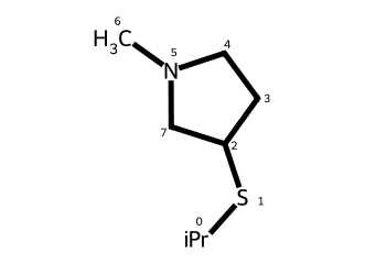 CC(C)SC1CCN(C)C1